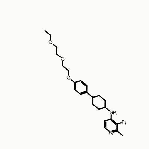 CCOCCOCCOc1ccc(C2CCC(Nc3ccnc(C)c3Cl)CC2)cc1